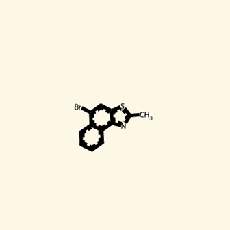 Cc1nc2c(cc(Br)c3ccccc32)s1